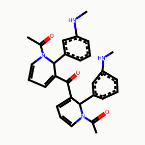 CNc1cccc(C2C(C(=O)C3=CC=CN(C(C)=O)C3c3cccc(NC)c3)=CC=CN2C(C)=O)c1